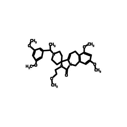 COCCN1C(=O)N2Cc3cc(OC)cc(OC)c3CC=C2C12CCN(C(C)c1cc(OC)cc(OC)c1)CC2